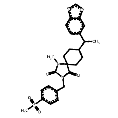 CC(c1ccc2scnc2c1)C1CCC2(CC1)C(=O)N(Cc1ccc(S(C)(=O)=O)cc1)C(=O)N2C